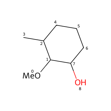 COC1C(C)CCCC1O